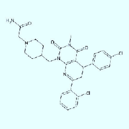 Cn1c(=O)c2c(n(CC3CCN(CC(N)=O)CC3)c1=O)N=C(c1ccccc1Cl)CC2c1ccc(Cl)cc1